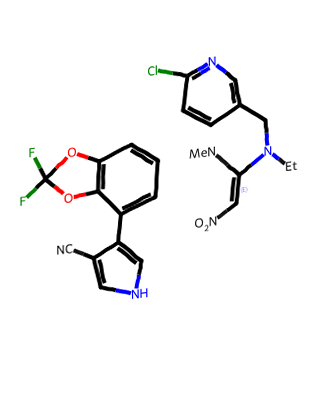 CCN(Cc1ccc(Cl)nc1)/C(=C/[N+](=O)[O-])NC.N#Cc1c[nH]cc1-c1cccc2c1OC(F)(F)O2